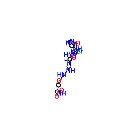 CCc1cc(Nc2ncc(Br)c(Nc3ccc4nccnc4c3P(C)(C)=O)n2)c(OC)cc1N1CCC(NCCNCCCOc2ccc(C3CCC(=O)NC3=O)cc2)CC1